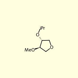 CO[C@@H]1COC[C@H]1OC(C)C